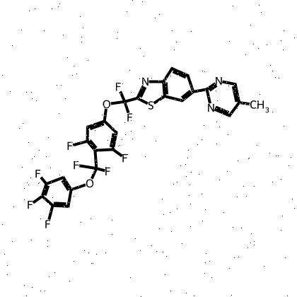 Cc1cnc(-c2ccc3nc(C(F)(F)Oc4cc(F)c(C(F)(F)Oc5cc(F)c(F)c(F)c5)c(F)c4)sc3c2)nc1